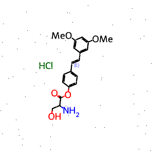 COc1cc(/C=C/c2ccc(OC(=O)C(N)CO)cc2)cc(OC)c1.Cl